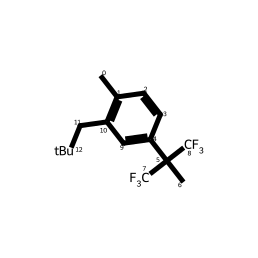 Cc1ccc(C(C)(C(F)(F)F)C(F)(F)F)cc1CC(C)(C)C